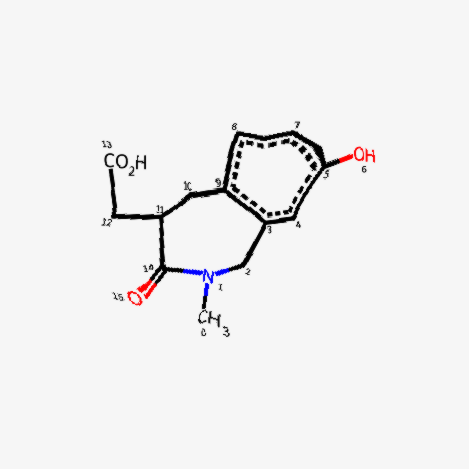 CN1Cc2cc(O)ccc2CC(CC(=O)O)C1=O